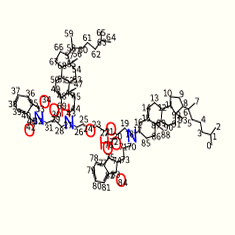 CC(C)CCCC(C)C1CCC2C3CC=C4CC(N(CCOCCOCCN(CC(O)CN5C(=O)c6ccccc6C5=O)C5CCC6(C)C(=CCC7C6CCC6(C)C(C(C)CCCC(C)C)CCC76)C5)CC(O)CC5C(=O)c6ccccc6C5=O)CCC4(C)C3CCC12C